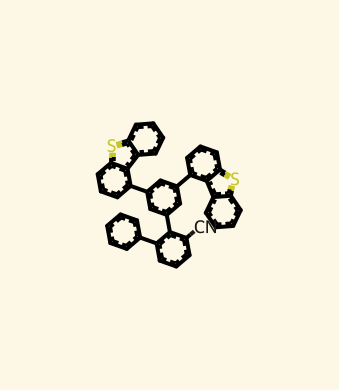 N#Cc1cccc(-c2ccccc2)c1-c1cc(-c2cccc3sc4ccccc4c23)cc(-c2cccc3sc4ccccc4c23)c1